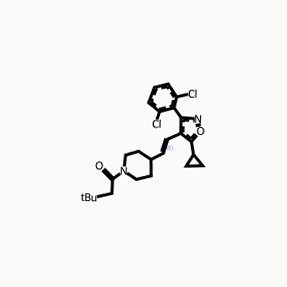 CC(C)(C)CC(=O)N1CCC(/C=C/c2c(-c3c(Cl)cccc3Cl)noc2C2CC2)CC1